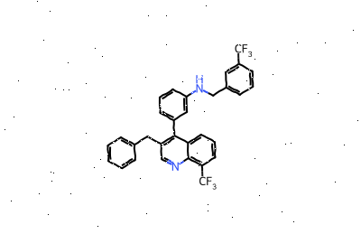 FC(F)(F)c1cccc(CNc2cccc(-c3c(Cc4ccccc4)cnc4c(C(F)(F)F)cccc34)c2)c1